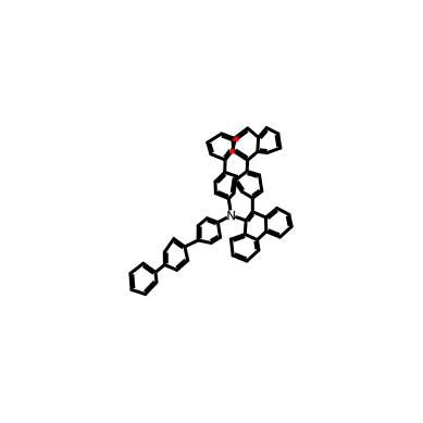 c1ccc(-c2ccc(-c3ccc(N(c4ccc(-c5ccccc5)cc4)c4c(-c5ccc(-c6cccc7ccccc67)cc5)c5ccccc5c5ccccc45)cc3)cc2)cc1